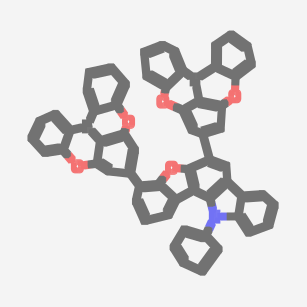 c1ccc(-n2c3ccccc3c3cc(-c4cc5c6c(c4)Oc4ccccc4B6c4ccccc4O5)c4oc5c(-c6cc7c8c(c6)Oc6ccccc6B8c6ccccc6O7)cccc5c4c32)cc1